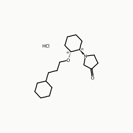 Cl.O=C1CCN([C@@H]2CCCC[C@H]2OCCCC2CCCCC2)C1